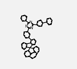 c1ccc(-c2ccc(-c3nc(-c4ccccc4)nc(-c4cccc(-c5cccc6c5-c5ccccc5C65c6cccc7ccc8cccc5c8c67)c4)n3)cc2)cc1